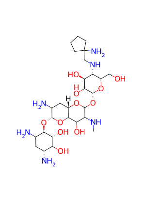 CNC1C(O[C@H]2OC(CO)[C@@H](NCC3(N)CCCC3)[C@H](O)C2O)O[C@H]2CC(N)[C@@H](O[C@@H]3C(N)C[C@@H](N)C(O)[C@H]3O)OC2C1O